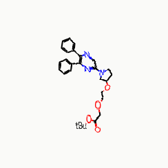 CC(C)(C)OC(=O)COCCOC1CCN(c2cnc(-c3ccccc3)c(-c3ccccc3)n2)C1